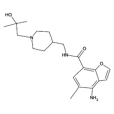 Cc1cc(C(=O)NCC2CCN(CC(C)(C)O)CC2)c2occc2c1N